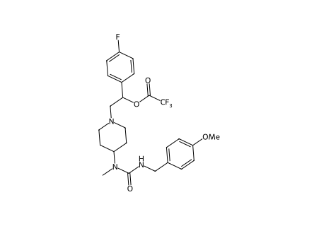 COc1ccc(CNC(=O)N(C)C2CCN(CC(OC(=O)C(F)(F)F)c3ccc(F)cc3)CC2)cc1